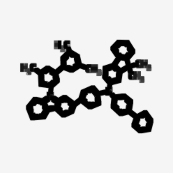 Cc1cc(C)cc(-c2cc(C)cc(-n3c4ccccc4c4ccc(-c5ccc(N(c6ccc(-c7ccccc7)cc6)c6ccc7c(c6)C(C)(C)c6ccccc6-7)cc5)cc43)c2)c1